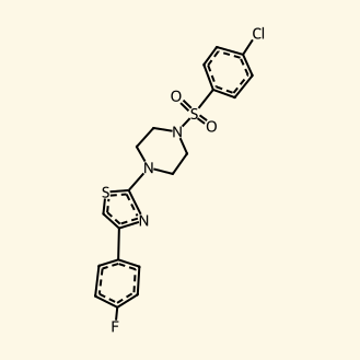 O=S(=O)(c1ccc(Cl)cc1)N1CCN(c2nc(-c3ccc(F)cc3)cs2)CC1